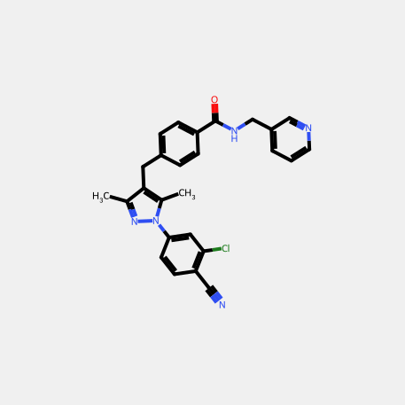 Cc1nn(-c2ccc(C#N)c(Cl)c2)c(C)c1Cc1ccc(C(=O)NCc2cccnc2)cc1